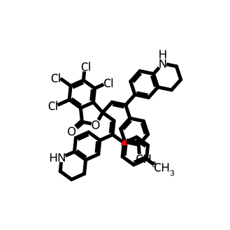 Cc1ccc(C(=CC2(C=C(c3ccc(C)cc3)c3ccc4c(c3)CCCN4)OC(=O)c3c(Cl)c(Cl)c(Cl)c(Cl)c32)c2ccc3c(c2)CCCN3)cc1